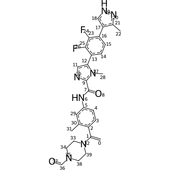 C=C(c1ccc(NC(=O)c2ncc(-c3ccc(-c4c[nH]nc4C)c(F)c3F)n2C)cc1C)N1CCN(C=O)CC1